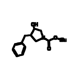 CC(C)(C)OC(=O)N1CC(O)C(Cc2ccccc2)C1